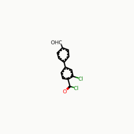 O=Cc1ccc(-c2ccc(C(=O)Cl)c(Cl)c2)cc1